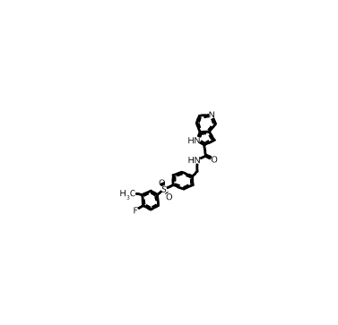 Cc1cc(S(=O)(=O)c2ccc(CNC(=O)c3cc4cnccc4[nH]3)cc2)ccc1F